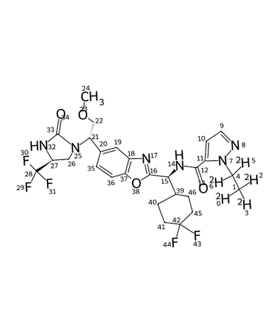 [2H]C([2H])([2H])C([2H])([2H])n1nccc1C(=O)N[C@H](c1nc2cc([C@@H](COC)N3C[C@@H](C(F)(F)F)NC3=O)ccc2o1)C1CCC(F)(F)CC1